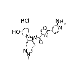 Cl.Cn1cc2cc(NC(=O)c3coc(-c4ccnc(N)c4)n3)c(N3CCCC(O)C3)cc2n1